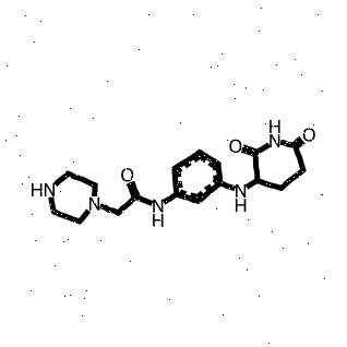 O=C1CCC(Nc2cccc(NC(=O)CN3CCNCC3)c2)C(=O)N1